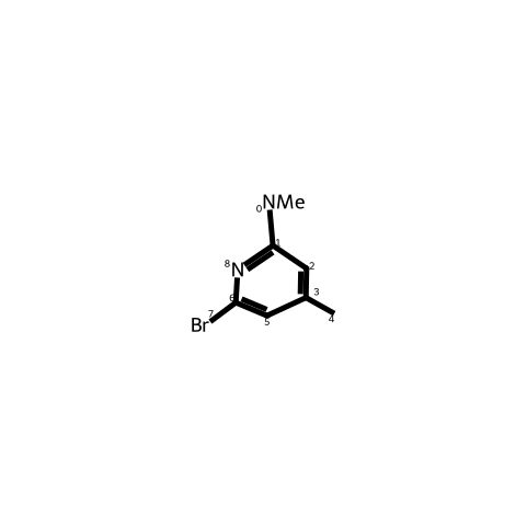 CNc1cc(C)cc(Br)n1